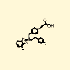 O=C(O)C#Cc1ccc(CN(CCc2ccc(Cl)cc2)c2nc3cccc(F)c3s2)cc1